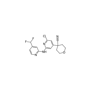 N#CC1(c2cc(Cl)nc(Nc3cc(C(F)F)ccn3)c2)CCOCC1